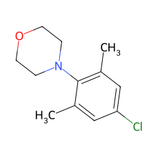 Cc1cc(Cl)cc(C)c1N1CCOCC1